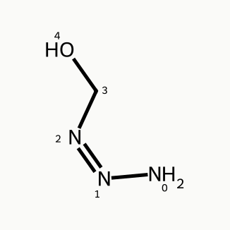 N/N=N\CO